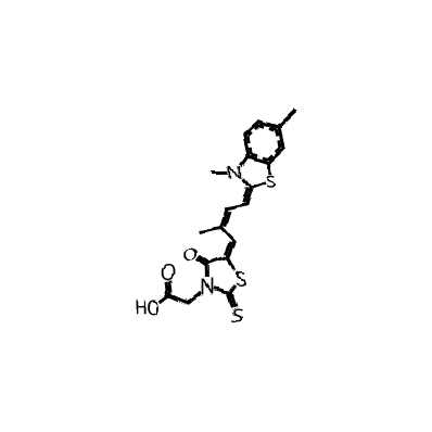 CC(=CC=C1Sc2cc(C)ccc2N1C)C=C1SC(=S)N(CC(=O)O)C1=O